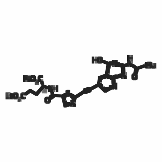 CCOC(=O)CC[C@H](NC(=O)c1cnc(C#Cc2cnc3nc(NC(=O)C(C)(C)C)nc(O)c3c2)s1)C(=O)OCC